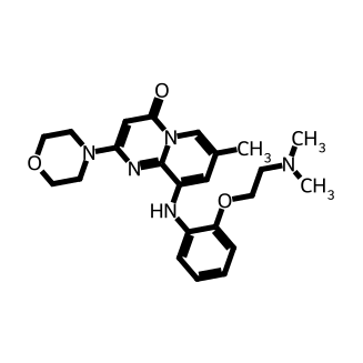 Cc1cc(Nc2ccccc2OCCN(C)C)c2nc(N3CCOCC3)cc(=O)n2c1